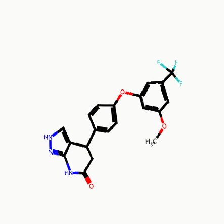 COc1cc(Oc2ccc(C3CC(=O)Nc4n[nH]cc43)cc2)cc(C(F)(F)F)c1